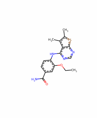 CCOc1cc(C(N)=O)ccc1Nc1ncnc2sc(C)c(C)c12